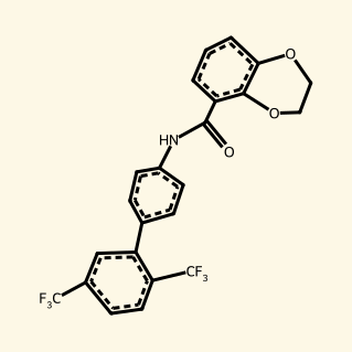 O=C(Nc1ccc(-c2cc(C(F)(F)F)ccc2C(F)(F)F)cc1)c1cccc2c1OCCO2